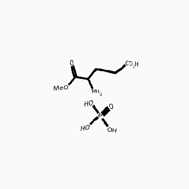 COC(=O)C(N)CCC(=O)O.O=P(O)(O)O